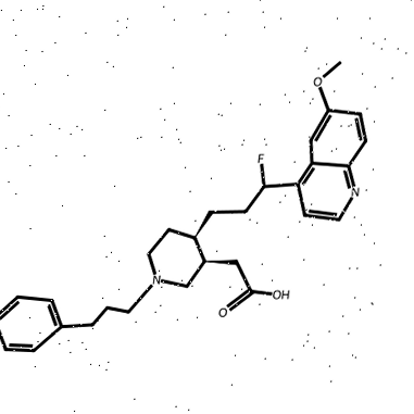 COc1ccc2nccc(C(F)CC[C@@H]3CCN(CCCc4ccccc4)C[C@@H]3CC(=O)O)c2c1